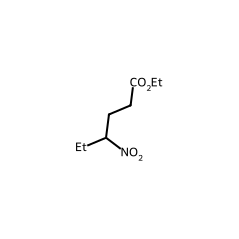 CCOC(=O)CCC(CC)[N+](=O)[O-]